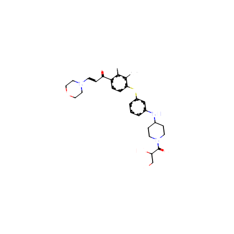 O=C(C=CN1CCOCC1)c1ccc(Sc2cccc(NC3CCN(C(=O)C(O)CO)CC3)c2)c(C(F)(F)F)c1C(F)(F)F